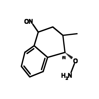 CC1CC(N=O)c2ccccc2[C@H]1ON